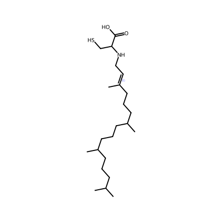 C/C(=C\CNC(CS)C(=O)O)CCCC(C)CCCC(C)CCCC(C)C